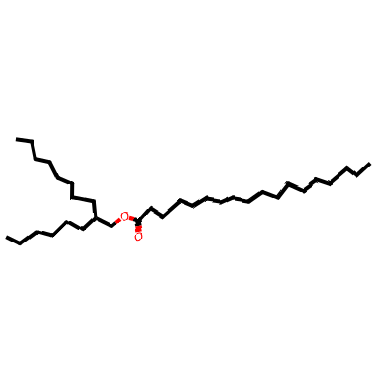 CCCCCCCCCCCCCCCCCC(=O)OCC(CCCCCC)CCCCCCCC